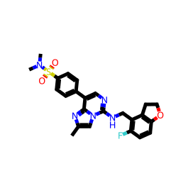 Cc1cn2c(NCc3c(F)ccc4c3CCO4)ncc(-c3ccc(S(=O)(=O)N(C)C)cc3)c2n1